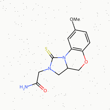 COc1ccc2c(c1)N1C(=S)N(CC(N)=O)CC1CO2